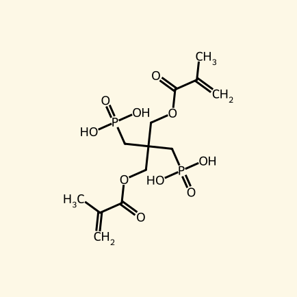 C=C(C)C(=O)OCC(COC(=O)C(=C)C)(CP(=O)(O)O)CP(=O)(O)O